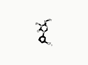 CC(C)N=C1SCN(c2cccc(C(F)(F)F)c2)C(=O)N1C(C)C